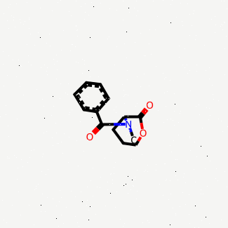 O=C1OC2CCC1N(C(=O)c1ccccc1)C2